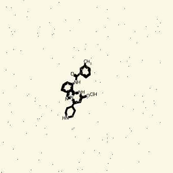 Cc1cccc(C(=O)Nc2cccc3nn4c(C5CCNCC5)cc(=O)[nH]c4c23)c1.Cl